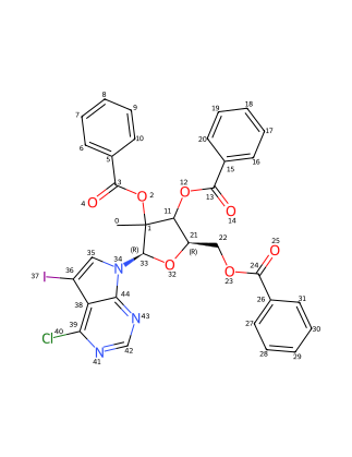 CC1(OC(=O)c2ccccc2)C(OC(=O)c2ccccc2)[C@@H](COC(=O)c2ccccc2)O[C@H]1n1cc(I)c2c(Cl)ncnc21